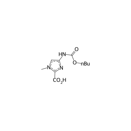 CCCCOC(=O)Nc1cn(C)c(C(=O)O)n1